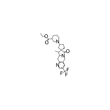 CCOC(=O)C1CCCN(C2CC[C@@]3(C2)C(=O)N2Cc4cc(C(F)(F)F)cnc4CC2C3C)C1